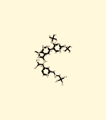 Cn1nc(O[C@H](c2ccnc(COCC(F)(F)F)c2)C(F)F)c2cc(-c3cnc(OC(C)(C)C)nc3OC(C)(C)C)nnc21